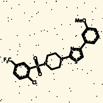 COc1cccc(-c2csc(N3CCN(S(=O)(=O)c4cc(C(F)(F)F)ccc4Cl)CC3)n2)c1